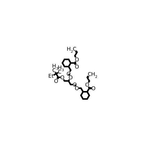 C=CCOC(=O)C1CCCCC1COOCC(COC(=O)C(C)(C)CC)OOCC1CCCCC1C(=O)OCC=C